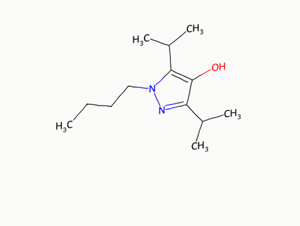 CCCCn1nc(C(C)C)c(O)c1C(C)C